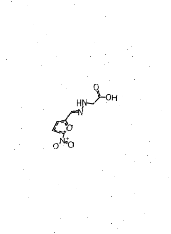 O=C(O)CNN=Cc1ccc([N+](=O)[O-])o1